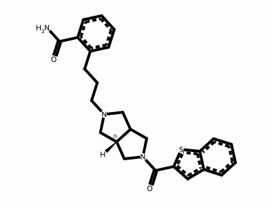 NC(=O)c1ccccc1[CH]CCN1CC2CN(C(=O)c3cc4ccccc4s3)C[C@@H]2C1